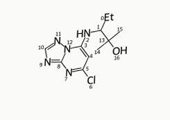 CCC(Nc1cc(Cl)nc2ncnn12)C(C)(C)O